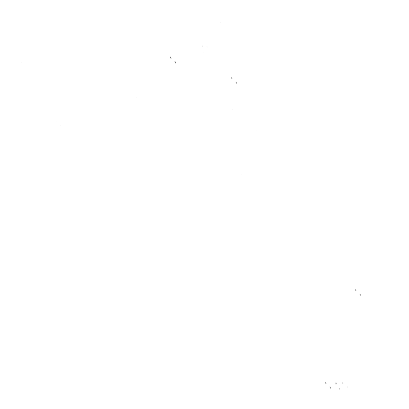 CNC/C=C\N(C)CC#Cc1ccc2c(c1)CCn1c-2cc(OCC2COCCO2)nc1=O